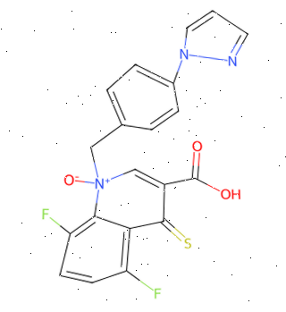 O=C(O)C1=C[N+]([O-])(Cc2ccc(-n3cccn3)cc2)c2c(F)ccc(F)c2C1=S